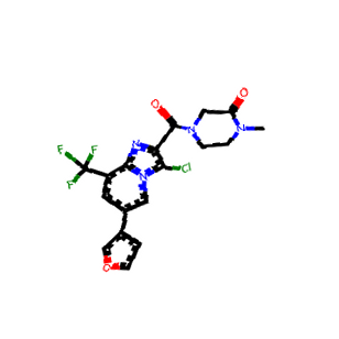 CN1CCN(C(=O)c2nc3c(C(F)(F)F)cc(-c4ccoc4)cn3c2Cl)CC1=O